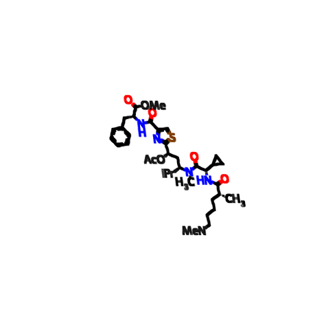 CNCCCC[C@@H](C)C(=O)N[C@H](C(=O)N(C)[C@H](C[C@@H](OC(C)=O)c1nc(C(=O)N[C@@H](Cc2ccccc2)C(=O)OC)cs1)C(C)C)C1CC1